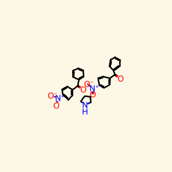 C1CCNC1.O=C(c1ccccc1)c1ccc([N+](=O)[O-])cc1.O=C(c1ccccc1)c1ccc([N+](=O)[O-])cc1